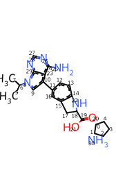 C1CCCC1.CC(C)n1cc(-c2ccc3c(c2)CC(C(=O)O)N3)c2c(N)ncnc21.N